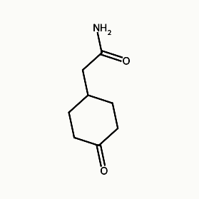 NC(=O)CC1CCC(=O)CC1